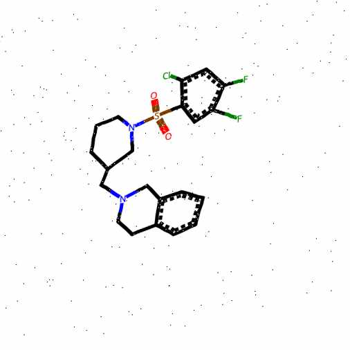 O=S(=O)(c1cc(F)c(F)cc1Cl)N1CCCC(CN2CCc3ccccc3C2)C1